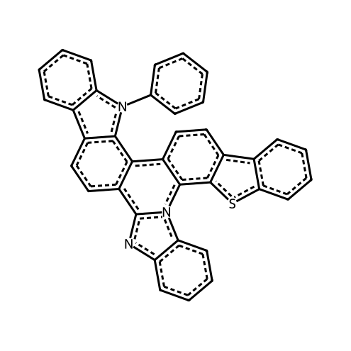 c1ccc(-n2c3ccccc3c3ccc4c(c5ccc6c7ccccc7sc6c5n5c6ccccc6nc45)c32)cc1